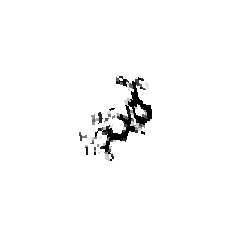 CCC(=Cc1nc2ccc([N+](=O)[O-])cn2c1C)C(=O)O